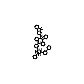 CC1(C)c2ccccc2-c2ccc(-n3c4c(c5ccccc53)-c3ccccc3N(c3cccc(-c5nc(-c6ccccc6)nc(-c6cccc(-c7ccccc7)c6)n5)c3)c3ccccc3-4)cc21